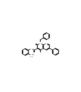 O=c1c(C2=NS(=O)(=O)c3ccccc3N2)c(O)c2cc(-c3ccccc3)cnc2n1Cc1ccccc1